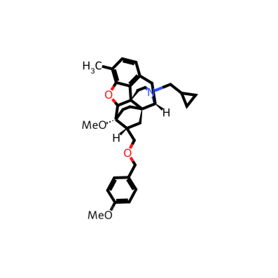 COc1ccc(COC[C@H]2C[C@@]34CC[C@]2(OC)C2Oc5c(C)ccc6c5[C@@]23CCN(CC2CC2)[C@@H]4C6)cc1